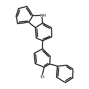 CCc1ccc(-c2ccc3[nH]c4ccccc4c3c2)cc1-c1ccccc1